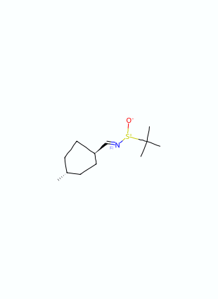 CC(C)(C)[S+]([O-])/N=C/[C@H]1CC[C@H](C)CC1